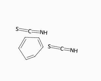 N=C=S.N=C=S.c1ccccc1